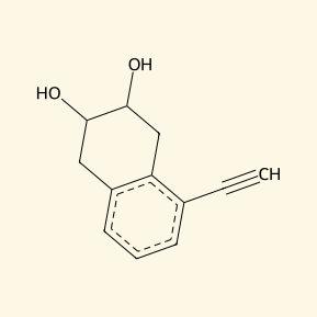 C#Cc1cccc2c1CC(O)C(O)C2